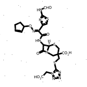 O=CNc1nc(C(=NOC2C=CCC2)C(=O)NC2C(=O)N3CC(CSc4nnnn4CC(=O)O)(C(=O)O)CS[C@H]23)cs1